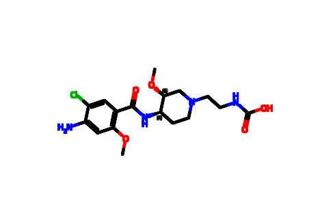 COc1cc(N)c(Cl)cc1C(=O)N[C@@H]1CCN(CCNC(=O)O)C[C@@H]1OC